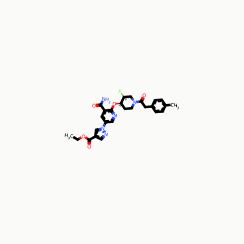 CCOC(=O)c1cnn(-c2cnc(O[C@@H]3CCN(C(=O)Cc4ccc(C)cc4)C[C@@H]3F)c(C(N)=O)c2)c1